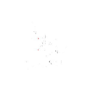 O=C(O)c1nsc2cc(N3C4CCC3CC(OCc3c(-c5ccccc5OC(F)(F)F)noc3C3CC3)C4)ccc12